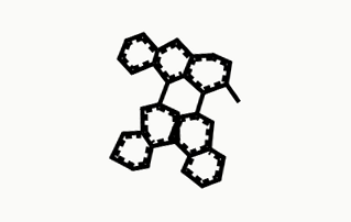 Cc1ccc2cc3ccccc3c(-c3ccc4ccccc4c3)c2c1-c1ccc2ccccc2c1